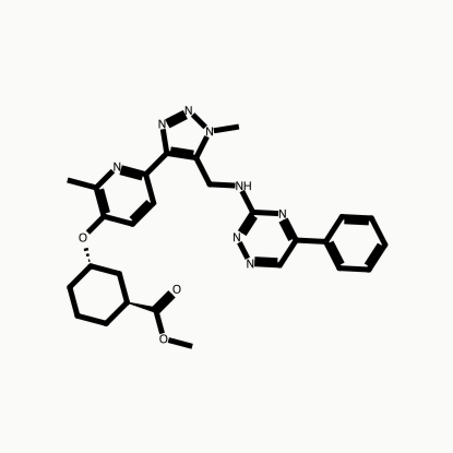 COC(=O)[C@H]1CCC[C@H](Oc2ccc(-c3nnn(C)c3CNc3nncc(-c4ccccc4)n3)nc2C)C1